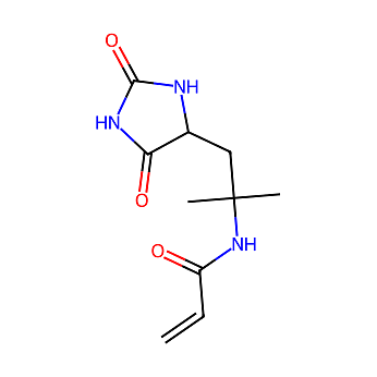 C=CC(=O)NC(C)(C)CC1NC(=O)NC1=O